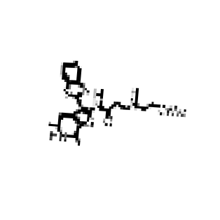 COCCNCCC(=O)Nc1sc2c(c1-c1nc3ccccc3s1)CC(C)NC2C